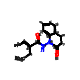 CC(C)CC(CC(=O)O)C(=O)NN1C(=O)CCc2ccccc21